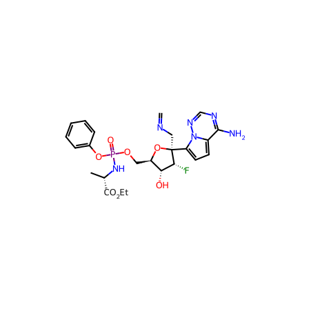 C=NC[C@@]1(c2ccc3c(N)ncnn23)O[C@H](COP(=O)(N[C@@H](C)C(=O)OCC)Oc2ccccc2)[C@@H](O)[C@H]1F